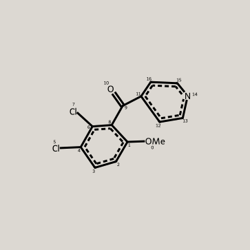 COc1ccc(Cl)c(Cl)c1C(=O)c1ccncc1